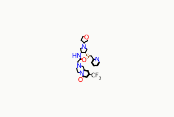 O=C(CN1CCn2c(cc(C(F)(F)F)cc2=O)C1)NC1CN(C2CCOC2)C[C@@H]1SCc1ccccn1